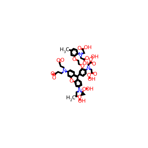 C=C(CN(c1ccc2c(c1)OC1=CC(N(CCC3OO3)CCC3OO3)C=CC1=C2c1ccc(N(CC(=O)OO)CC(=O)OO)c(OCCOc2cc(C)ccc2N(CC(=O)O)CC(=O)O)c1)C1(OO)CC1)OO